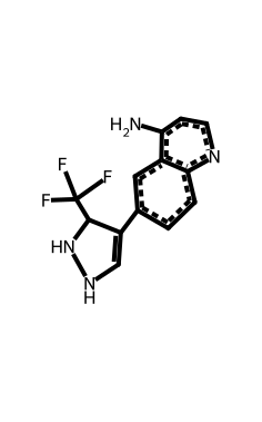 Nc1ccnc2ccc(C3=CNNC3C(F)(F)F)cc12